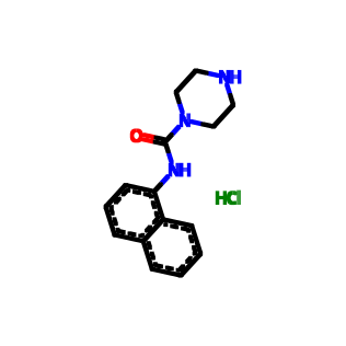 Cl.O=C(Nc1cccc2ccccc12)N1CCNCC1